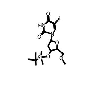 COCC1OC(n2cc(I)c(=O)[nH]c2=O)CC1O[Si](C)(C)C(C)(C)C